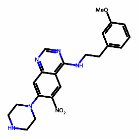 COc1cccc(CCNc2ncnc3cc(N4CCNCC4)c([N+](=O)[O-])cc23)c1